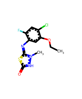 CCOc1cc(N=c2sc(=O)[nH]n2C)c(F)cc1Cl